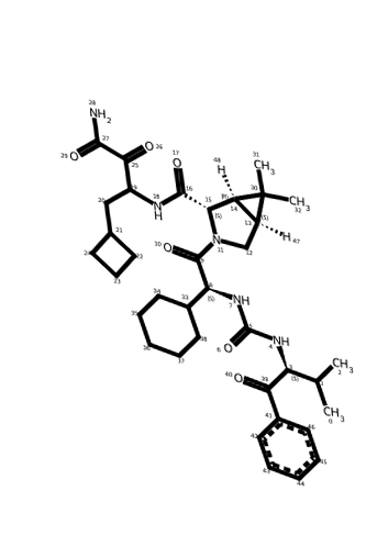 CC(C)[C@H](NC(=O)N[C@H](C(=O)N1C[C@H]2[C@@H]([C@H]1C(=O)NC(CC1CCC1)C(=O)C(N)=O)C2(C)C)C1CCCCC1)C(=O)c1ccccc1